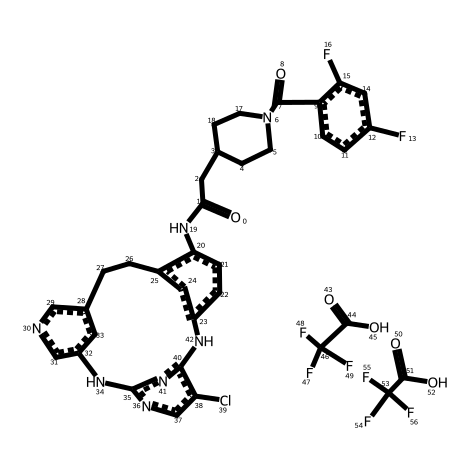 O=C(CC1CCN(C(=O)c2ccc(F)cc2F)CC1)Nc1ccc2cc1CCc1cncc(c1)Nc1ncc(Cl)c(n1)N2.O=C(O)C(F)(F)F.O=C(O)C(F)(F)F